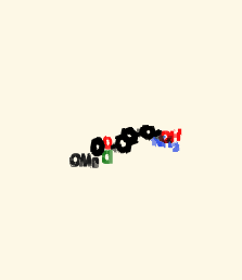 COc1cccc(OC[C@@H]2CCc3cc([C@H]4CC[C@](N)(CO)C4)ccc3C2)c1Cl